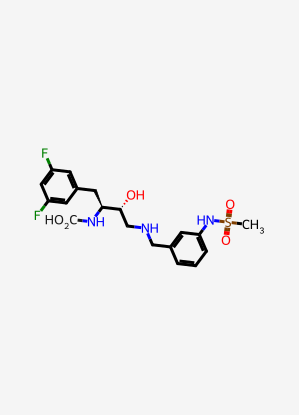 CS(=O)(=O)Nc1cccc(CNC[C@@H](O)[C@H](Cc2cc(F)cc(F)c2)NC(=O)O)c1